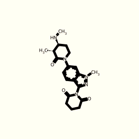 CN[C@H]1CCN(c2ccc3c(N4C(=O)CCCC4=O)nn(C)c3c2)C(=O)[C@@H]1C